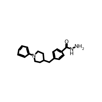 NNC(=O)c1ccc(CC2CCN(c3ccccc3)CC2)cc1